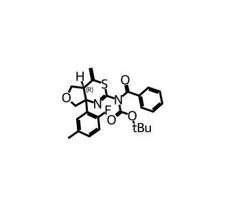 C=C1SC(N(C(=O)OC(C)(C)C)C(=O)c2ccccc2)=NC2(c3cc(C)ccc3F)COC[C@H]12